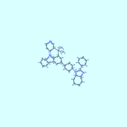 CC1(C)c2cnccc2-n2c3ccccc3c3cc(-c4ccc(-n5c(-c6ccccc6)nc6ccccc65)cc4)cc1c32